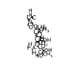 CC1CC([C@H](O)C(C)(C)O)OC2C1[C@@]1(C)CCC34C[C@@]35CC[C@H](OC3CN([C@@H]6CCNC6=O)CCO3)C(C)(C)[C@@H]5CC[C@H]4[C@]1(C)[C@H]2O